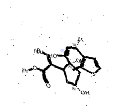 CCCCC=C(C(=O)OC(C)C)C1C[C@@H](O)C[C@]1(O)/C(O)=C\[C@H](CC)c1ccsc1C